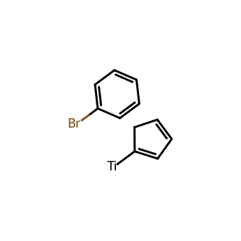 Brc1ccccc1.[Ti][C]1=CC=CC1